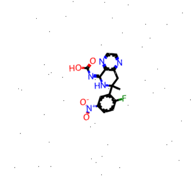 CC1(c2cc([N+](=O)[O-])ccc2F)Cc2nccnc2/C(=N\C(=O)O)N1